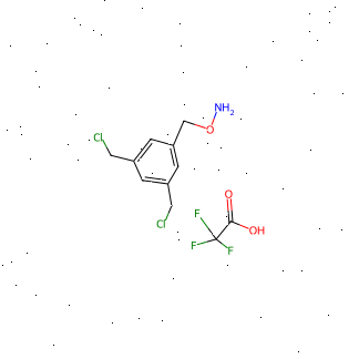 NOCc1cc(CCl)cc(CCl)c1.O=C(O)C(F)(F)F